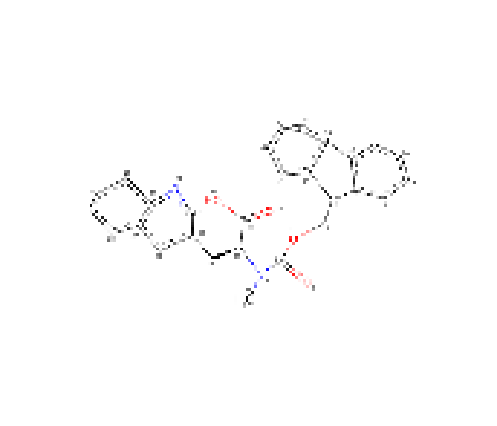 CN(C(=O)OCC1c2ccccc2-c2ccccc21)[C@@H](Cc1cnc2ccccc2c1)C(=O)O